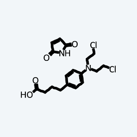 O=C(O)CCCc1ccc(N(CCCl)CCCl)cc1.O=C1C=CC(=O)N1